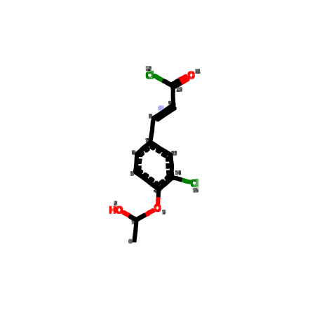 CC(O)Oc1ccc(/C=C/C(=O)Cl)cc1Cl